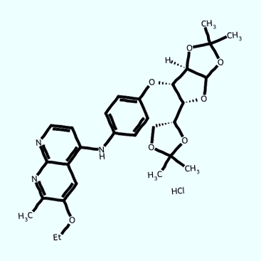 CCOc1cc2c(Nc3ccc(O[C@H]4[C@@H]([C@H]5COC(C)(C)O5)OC5OC(C)(C)O[C@@H]54)cc3)ccnc2nc1C.Cl